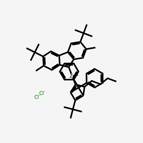 CCCCC1[C]([Zr+2][CH]2c3cc(C)c(C(C)(C)C)cc3-c3cc(C(C)(C)C)c(C)cc32)=C2C(C(C)(C)C)=C1C2(c1ccccc1)c1ccccc1.[Cl-].[Cl-]